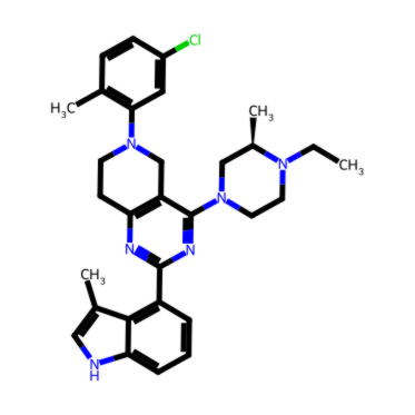 CCN1CCN(c2nc(-c3cccc4[nH]cc(C)c34)nc3c2CN(c2cc(Cl)ccc2C)CC3)C[C@H]1C